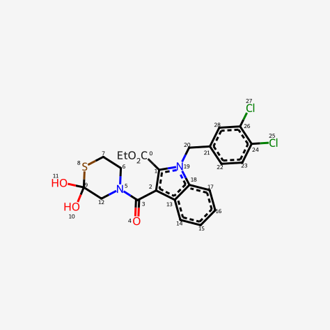 CCOC(=O)c1c(C(=O)N2CCSC(O)(O)C2)c2ccccc2n1Cc1ccc(Cl)c(Cl)c1